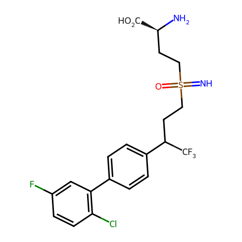 N=S(=O)(CCC(c1ccc(-c2cc(F)ccc2Cl)cc1)C(F)(F)F)CC[C@H](N)C(=O)O